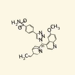 C=CC1C[N@@]2CCC1CC2[C@@H](c1ccnc2ccc(OC)cc12)n1cc(-c2ccc(S(N)(=O)=O)cc2)nn1